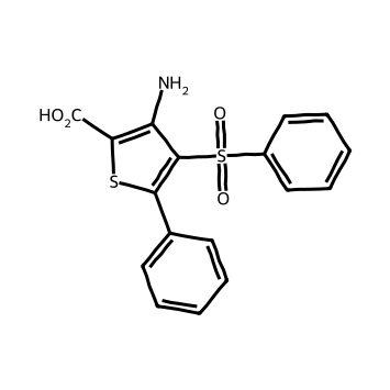 Nc1c(C(=O)O)sc(-c2ccccc2)c1S(=O)(=O)c1ccccc1